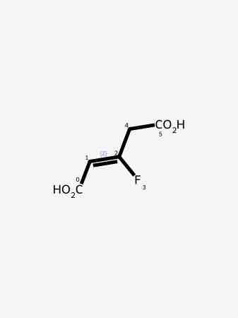 O=C(O)/C=C(\F)CC(=O)O